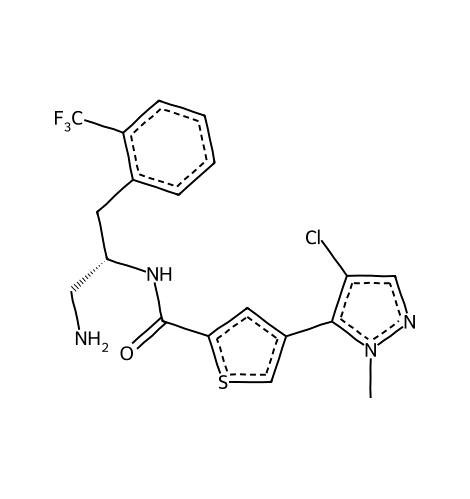 Cn1ncc(Cl)c1-c1csc(C(=O)N[C@H](CN)Cc2ccccc2C(F)(F)F)c1